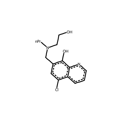 CCCN(CCO)Cc1cc(Cl)c2cccnc2c1O